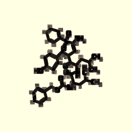 CC(C)CC(NC(=O)OCc1ccccc1)C(=O)NC(CC(C)C)C(=O)C(C=C(N)S(=O)(=O)c1ccccc1)Cc1ccc(O)cc1